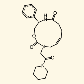 O=C1CCC=CCN(CC(=O)N2CCCCC2)C(=O)OC[C@@H](c2ccccc2)N1